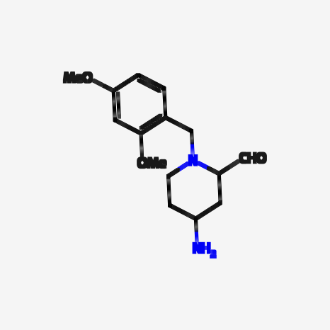 COc1ccc(CN2CCC(N)CC2C=O)c(OC)c1